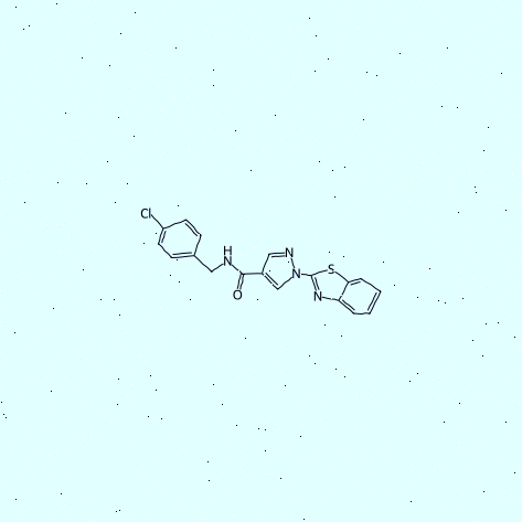 O=C(NCc1ccc(Cl)cc1)c1cnn(-c2nc3ccccc3s2)c1